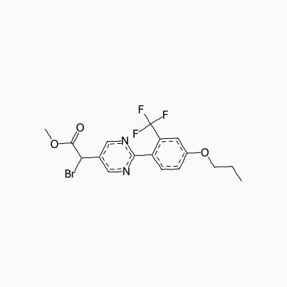 CCCOc1ccc(-c2ncc(C(Br)C(=O)OC)cn2)c(C(F)(F)F)c1